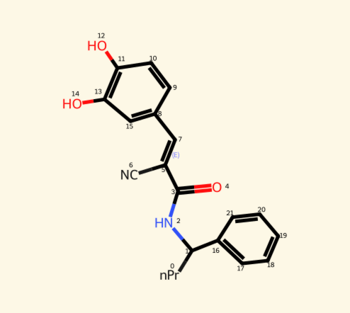 CCCC(NC(=O)/C(C#N)=C/c1ccc(O)c(O)c1)c1ccccc1